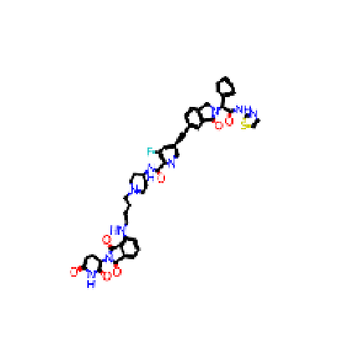 O=C1CCC(N2C(=O)c3cccc(NCCCCN4CCC(NC(=O)c5ncc(C#Cc6ccc7c(c6)C(=O)N(C(C(=O)Nc6nccs6)c6ccccc6)C7)cc5F)CC4)c3C2=O)C(=O)N1